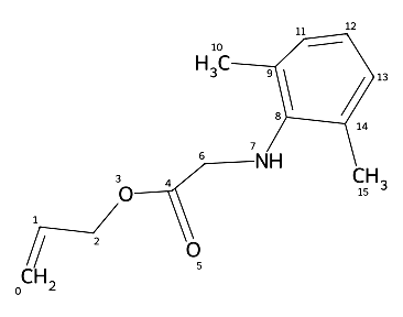 C=CCOC(=O)CNc1c(C)cccc1C